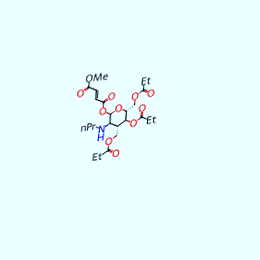 CCCN[C@H]1[C@@H](OC(=O)/C=C/C(=O)OC)O[C@H](COC(=O)CC)[C@@H](OC(=O)CC)[C@@H]1COC(=O)CC